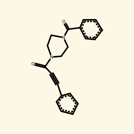 O=C(C#Cc1ccccc1)N1CCN(C(=O)c2ccccc2)CC1